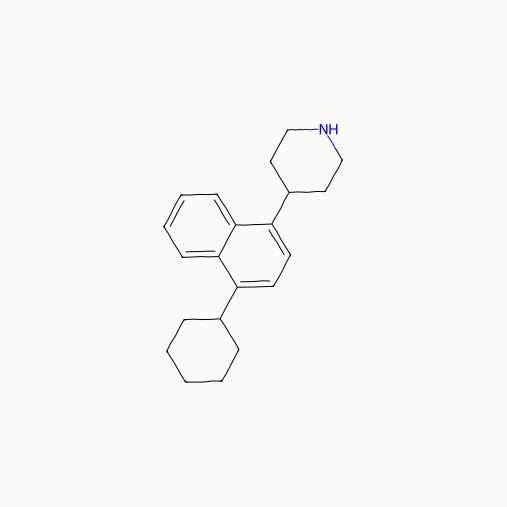 c1ccc2c(C3CCNCC3)ccc(C3CCCCC3)c2c1